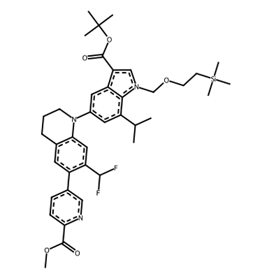 COC(=O)c1ccc(-c2cc3c(cc2C(F)F)N(c2cc(C(C)C)c4c(c2)c(C(=O)OC(C)(C)C)cn4COCC[Si](C)(C)C)CCC3)cn1